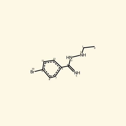 CCNNC(=N)c1ccc(Br)cc1